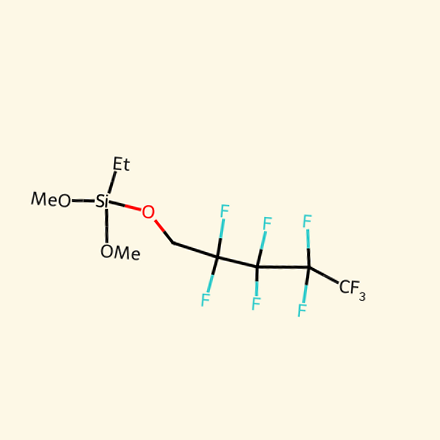 CC[Si](OC)(OC)OCC(F)(F)C(F)(F)C(F)(F)C(F)(F)F